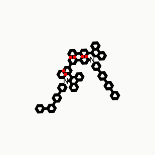 c1ccc(-c2ccc(-c3ccc(-c4ccc(N(c5ccc(-c6cccc(-c7cccc(-c8c(N(c9ccccc9)c9ccc(-c%10ccc(-c%11cccc(-c%12ccccc%12)c%11)cc%10)cc9)c9ccccc9c9ccccc89)c7)c6)cc5)c5c(-c6ccc(-c7ccccc7)cc6)c6ccccc6c6ccccc56)cc4)cc3)cc2)cc1